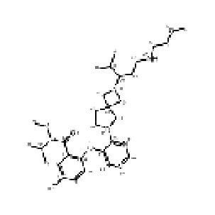 CCN(C(=O)c1cc(F)ccc1Oc1nncnc1N1CCC2(C1)CN([C@H](CCNCCOC)C(C)C)C2)C(C)C